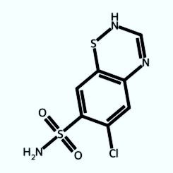 NS(=O)(=O)c1cc2c(cc1Cl)N=CNS2